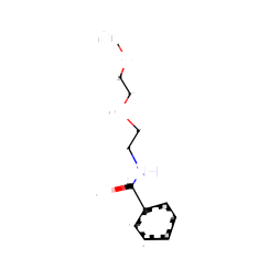 CCCOCCOCCNC(=O)c1ccccc1